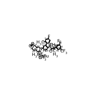 Cc1cc(F)ccc1-c1cc(N2CC3CS(=O)(=O)CCN3C[C@H]2C[Si](C)(C)C(C)(C)C)ncc1N(C)C(=O)C(C)(C)c1cc(CF)cc(C(F)(F)F)c1